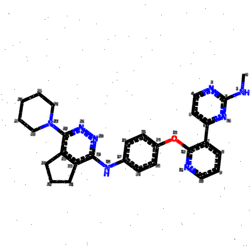 CNc1nccc(-c2cccnc2Oc2ccc(Nc3nnc(N4CCCCC4)c4c3CCC4)cc2)n1